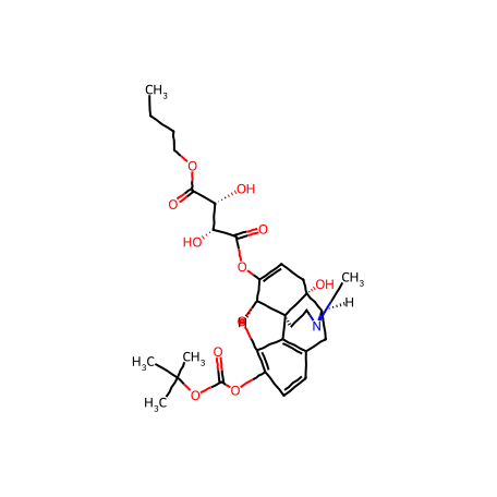 CCCCOC(=O)[C@H](O)[C@@H](O)C(=O)OC1=CC[C@@]2(O)[C@H]3Cc4ccc(OC(=O)OC(C)(C)C)c5c4[C@@]2(CCN3C)[C@H]1O5